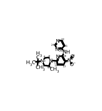 C[C@H]1CN(C(C)(C)C)CCN1c1ccc([N+](=O)[O-])c(Nc2ccncn2)n1